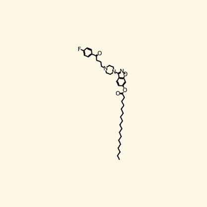 CCCCCCCCCCCCCCCCCC(=O)Oc1ccc2c(N3CCN(CCCC(=O)c4ccc(F)cc4)CC3)noc2c1